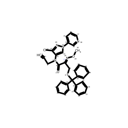 C#CCN(C(=O)/C(CSC(c1ccccc1)(c1ccccc1)c1ccccc1)=N/OC)c1cn(-c2cccnc2)nc1Cl